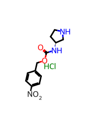 Cl.O=C(N[C@@H]1CCNC1)OCc1ccc([N+](=O)[O-])cc1